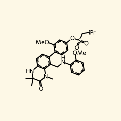 COc1ccccc1NCc1c(-c2ccc(OS(=O)(=O)CC(C)C)cc2OC)ccc2c1N(C)C(=O)C(C)(C)N2